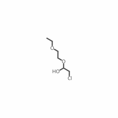 CCOCCOC(O)CCl